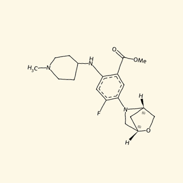 COC(=O)c1cc(N2C[C@@H]3C[C@H]2CO3)c(F)cc1NC1CCN(C)CC1